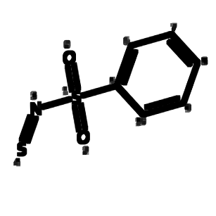 O=S(=O)(N=S)c1ccccc1